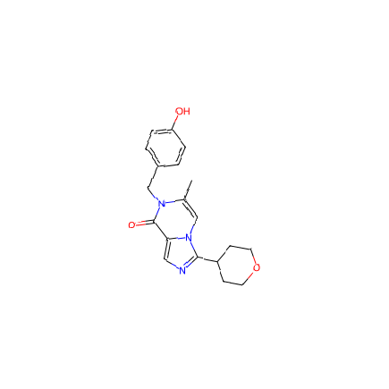 Cc1cn2c(C3CCOCC3)ncc2c(=O)n1Cc1ccc(O)cc1